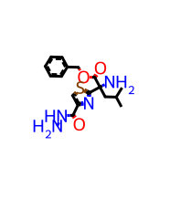 CC(C)CC(N)(C(=O)OCc1ccccc1)c1nc(C(=O)NN)cs1